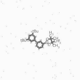 CC(C)(C)c1cc(-c2cccc(B3OC(C)(C)C(C)(C)O3)c2)cc(C(C)(C)C)c1